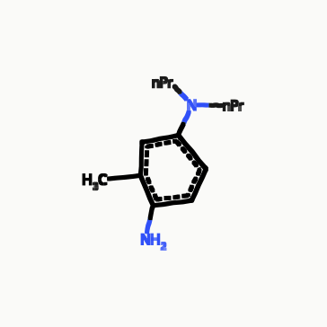 CCCN(CCC)c1ccc(N)c(C)c1